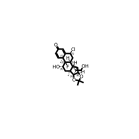 CC1(C)O[C@@H]2C[C@H]3[C@@H]4C[C@H](Cl)C5=CC(=O)C=C[C@]5(C)[C@@]4(F)[C@@H](O)C[C@]3(C)[C@]2(C(=O)CO)O1